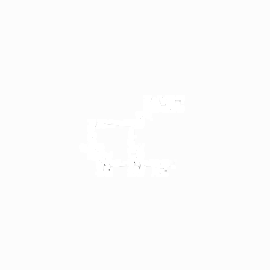 O=C(O)C1CC=NN1Br